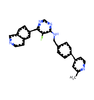 Cc1cc(-c2ccc(CNc3ncnc(-c4ccc5cnccc5c4)c3F)cc2)ccn1